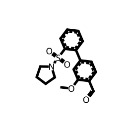 COc1cc(-c2ccccc2S(=O)(=O)N2CCCC2)ccc1C=O